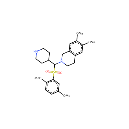 COc1ccc(OC)c(S(=O)(=O)C(C2CCNCC2)N2CCc3cc(OC)c(OC)cc3C2)c1